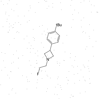 CC(C)(C)c1ccc(C2CN(CCF)C2)cc1